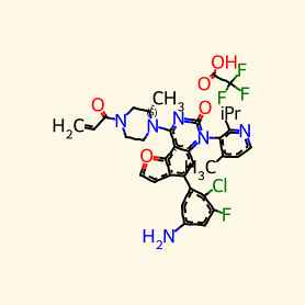 C=CC(=O)N1CCN(c2nc(=O)n(-c3c(C)ccnc3C(C)C)c3cc(-c4cc(N)cc(F)c4Cl)c4ccoc4c23)[C@@H](C)C1.O=C(O)C(F)(F)F